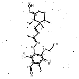 CC(/C=C/[C@@]1(C)[C@H](C)CCC(=NO)[C@@H]1C)=C\Cc1c(O)c(C=O)c(C)c(Cl)c1OCF